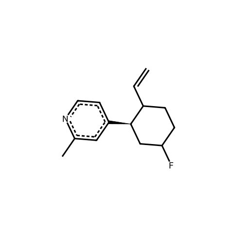 C=CC1CCC(F)C[C@H]1c1ccnc(C)c1